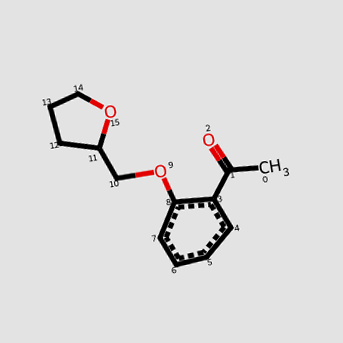 CC(=O)c1ccccc1OCC1CCCO1